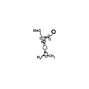 COCCCOc1nn(C2CCC(N3C[C@@H](C)O[C@@H](C)C3)CC2)cc1NC(=O)OCc1ccccc1